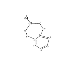 [2H]N1CCc2ccccc2CC1